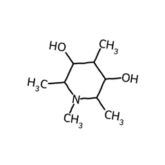 CC1C(O)C(C)N(C)C(C)C1O